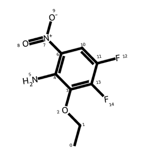 CCOc1c(N)c([N+](=O)[O-])cc(F)c1F